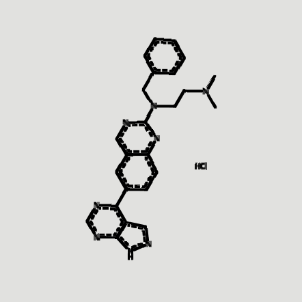 CN(C)CCN(Cc1ccccc1)c1ncc2cc(-c3ncnc4[nH]ncc34)ccc2n1.Cl